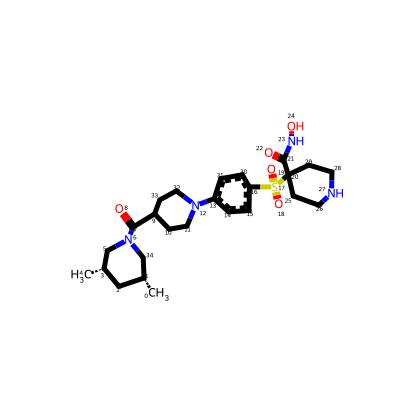 C[C@@H]1C[C@H](C)CN(C(=O)C2CCN(c3ccc(S(=O)(=O)C4(C(=O)NO)CCNCC4)cc3)CC2)C1